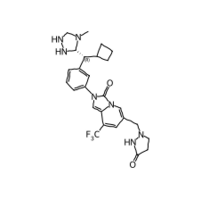 CN1CNNC1[C@@H](c1cccc(-n2cc3c(C(F)(F)F)cc(CN4CCC(=O)N4)cn3c2=O)c1)C1CCC1